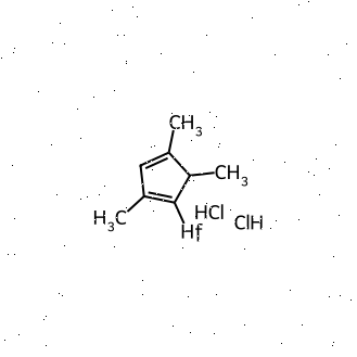 CC1=CC(C)=[C]([Hf])C1C.Cl.Cl